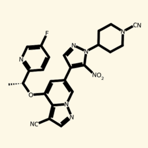 C[C@@H](Oc1cc(-c2cnn(C3CCN(C#N)CC3)c2[N+](=O)[O-])cn2ncc(C#N)c12)c1ccc(F)cn1